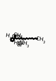 Br.CCCCCCCCCCCCCCCCC(c1ccccc1)[P+](C)(C)C.N.[Br-]